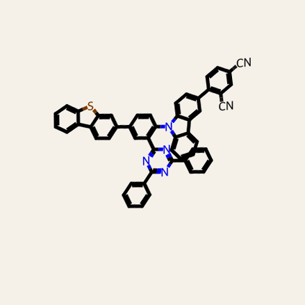 N#Cc1ccc(-c2ccc3c(c2)c2ccccc2n3-c2ccc(-c3ccc4c(c3)sc3ccccc34)cc2-c2nc(-c3ccccc3)nc(-c3ccccc3)n2)c(C#N)c1